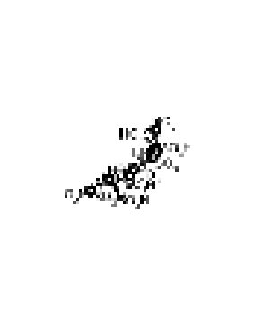 Cc1cc(N=Nc2c(S(=O)(=O)O)cc3c(S(=O)(=O)O)c(N=Nc4cc(S(=O)(=O)O)c5cc(S(=O)(=O)O)c(N=Nc6ccc([N+](=O)[O-])cc6S(=O)(=O)O)c(O)c5c4N)ccc3c2O)c(OCCCS(=O)(=O)O)cc1N=Nc1ccc([N+](=O)[O-])cc1S(=O)(=O)O